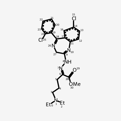 CCN(CC)CCCC(=NNC1=Nc2ccc(Cl)cc2C(c2ccccc2Cl)=NC1)C(=O)OC